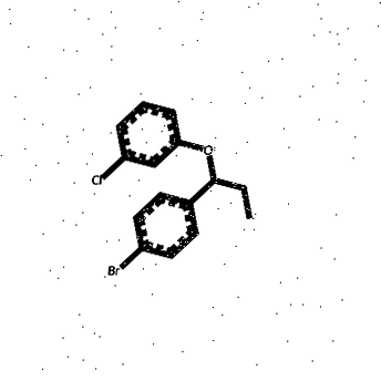 [CH2]CC(Oc1cccc(Cl)c1)c1ccc(Br)cc1